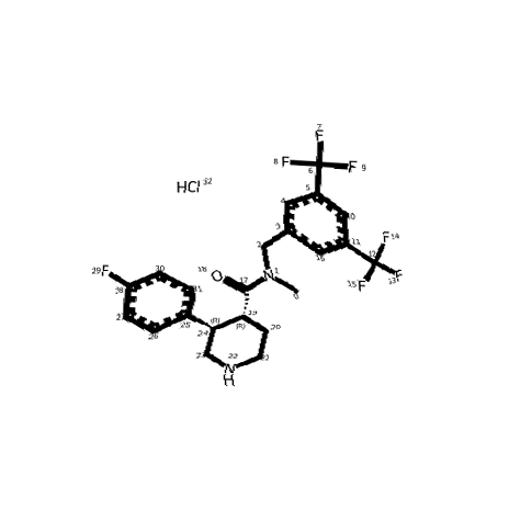 CN(Cc1cc(C(F)(F)F)cc(C(F)(F)F)c1)C(=O)[C@@H]1CCNC[C@H]1c1ccc(F)cc1.Cl